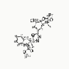 CC(C)S(=O)(=O)N(C)c1cc(-c2nnc([C@@](C)(Cc3ccccc3)NC(=O)OC(C)(C)C)o2)cc(Cl)n1